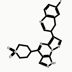 O=S1(=O)CCC(c2nc3c(C4C=Nc5ccc(F)cc5C4)cnn3c3[nH]ncc23)CC1